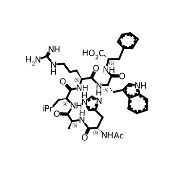 CC(=O)N[C@@H](Cc1c[nH]cn1)C(=O)N[C@@H](C)C(=O)N[C@@H](CC(C)C)C(=O)N[C@@H](CCCNC(=N)N)C(=O)N[C@@H](Cc1c[nH]c2ccccc12)C(=O)N[C@@H](Cc1ccccc1)C(=O)O